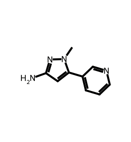 Cn1nc(N)cc1-c1cccnc1